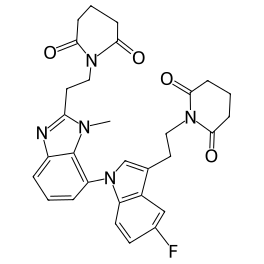 Cn1c(CCN2C(=O)CCCC2=O)nc2cccc(-n3cc(CCN4C(=O)CCCC4=O)c4cc(F)ccc43)c21